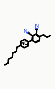 CCCCCCCC12CCC(c3ccc(CCC)c(C#N)c3C#N)(CC1)CC2